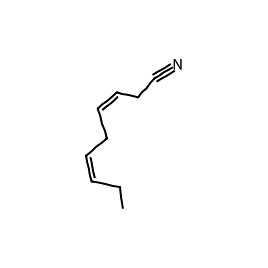 CC/C=C\C/C=C\CC#N